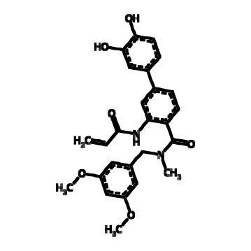 C=CC(=O)Nc1cc(-c2ccc(O)c(O)c2)ccc1C(=O)N(C)Cc1cc(OC)cc(OC)c1